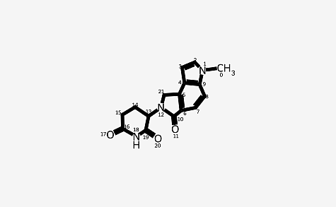 Cn1ccc2c3c(ccc21)C(=O)N(C1CCC(=O)NC1=O)C3